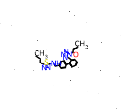 CCCCc1nnc(NCc2ccc(-c3ccccc3-c3nnnn3C(=O)CCC)cc2)s1